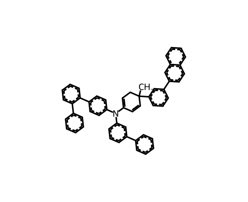 CC1(c2cccc(-c3ccc4ccccc4c3)c2)C=CC(N(c2ccc(-c3ccccc3-c3ccccc3)cc2)c2cccc(-c3ccccc3)c2)=CC1